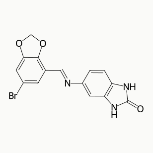 O=c1[nH]c2ccc(N=Cc3cc(Br)cc4c3OCO4)cc2[nH]1